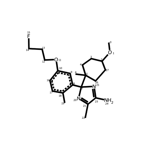 COC1CCC(C)(C2(c3cc(OCCCF)ccc3C)N=C(C)C(N)=N2)CC1